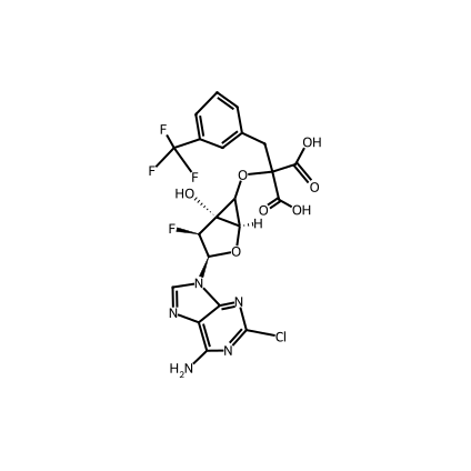 Nc1nc(Cl)nc2c1ncn2[C@@H]1O[C@@H]2C(OC(Cc3cccc(C(F)(F)F)c3)(C(=O)O)C(=O)O)[C@]2(O)[C@@H]1F